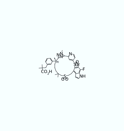 Cn1nc2nc1-c1cc(ccn1)S(=O)(=O)c1c(F)c(F)c3[nH]ccc3c1CCS(=O)(=O)CC(C)(C)CCC[C@]2(C)c1cccc(CC(C)(C)C(=O)O)c1